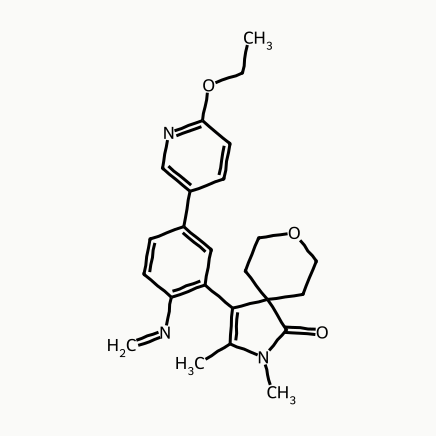 C=Nc1ccc(-c2ccc(OCC)nc2)cc1C1=C(C)N(C)C(=O)C12CCOCC2